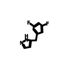 Fc1cc(F)cc(Cc2ccn[nH]2)c1